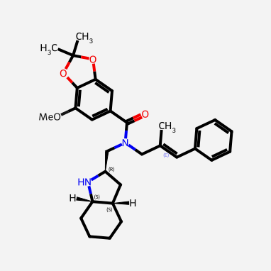 COc1cc(C(=O)N(C/C(C)=C/c2ccccc2)C[C@H]2C[C@@H]3CCCC[C@@H]3N2)cc2c1OC(C)(C)O2